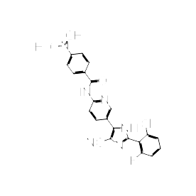 CN(C)c1ccc(C(=O)Nc2ccc(-c3[nH]c(-c4c(F)cccc4Cl)nc3C#N)cn2)cc1